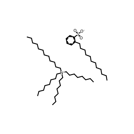 CCCCCCCCCCCC[N+](CCCCCCCC)(CCCCCCCC)CCCCCCCC.CCCCCCCCCCCCc1ccccc1S(=O)(=O)[O-]